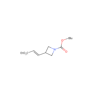 CCOC(=O)C=CC1CN(C(=O)OC(C)(C)C)C1